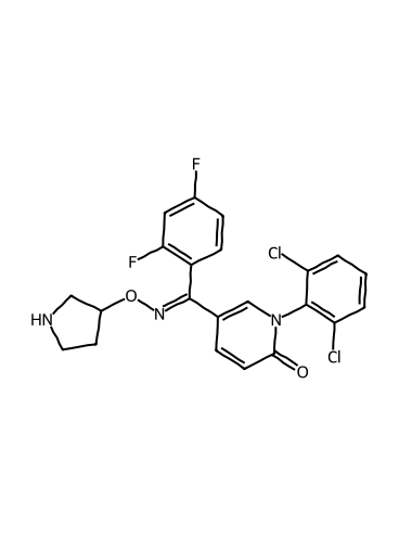 O=c1ccc(C(=NOC2CCNC2)c2ccc(F)cc2F)cn1-c1c(Cl)cccc1Cl